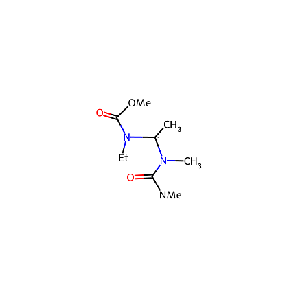 CCN([C](C)N(C)C(=O)NC)C(=O)OC